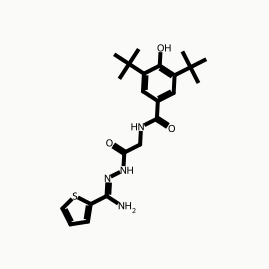 CC(C)(C)c1cc(C(=O)NCC(=O)NN=C(N)c2cccs2)cc(C(C)(C)C)c1O